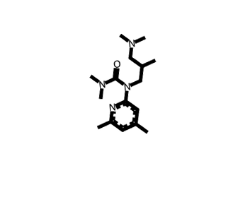 Cc1cc(C)nc(N(CC(C)CN(C)C)C(=O)N(C)C)c1